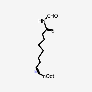 CCCCCCCC/C=C\CCCCCCC(=S)NC=O